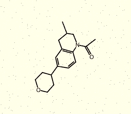 CC(=O)N1CC(C)Cc2cc(C3CCOCC3)ccc21